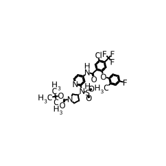 Cc1cc(F)ccc1Oc1cc(C(F)(F)F)c(Cl)cc1C(=O)Nc1ccnc(N([C@@H]2CCN(C(=O)OC(C)(C)C)C2)[SH](=O)=O)c1